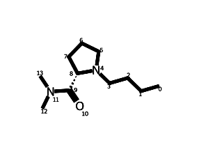 CCCCN1CCC[C@H]1C(=O)N(C)C